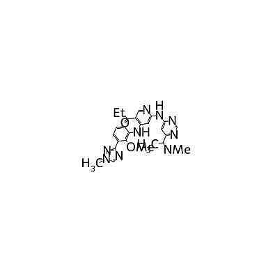 CCC(=O)c1cnc(Nc2cc(C(C)NC)ncn2)cc1Nc1cccc(-c2ncn(C)n2)c1OC